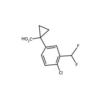 O=C(O)C1(c2ccc(Cl)c(C(F)F)c2)CC1